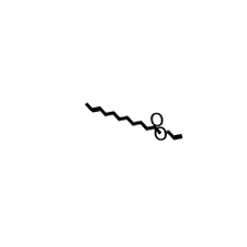 C=CCOC(=O)CCCCCCCC=CC